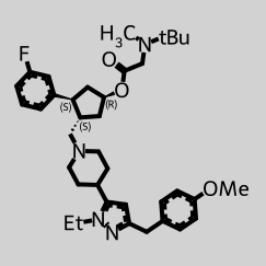 CCn1nc(Cc2ccc(OC)cc2)cc1C1CCN(C[C@H]2C[C@H](OC(=O)CN(C)C(C)(C)C)C[C@@H]2c2cccc(F)c2)CC1